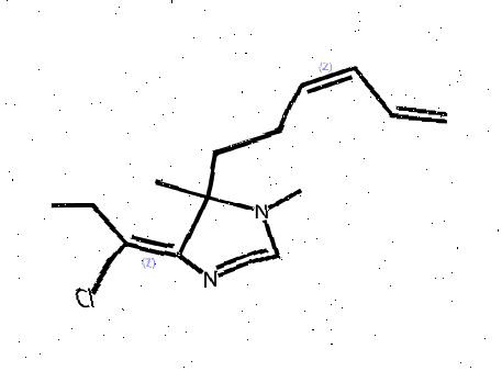 C=C/C=C\CCC1(C)/C(=C(/Cl)CC)N=CN1C